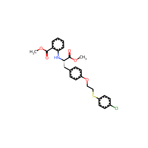 COC(=O)c1ccccc1N[C@@H](Cc1ccc(OCCSc2ccc(Cl)cc2)cc1)C(=O)OC